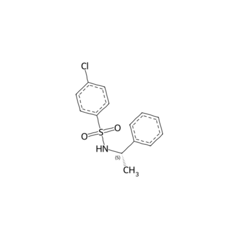 C[C@H](NS(=O)(=O)c1ccc(Cl)cc1)c1ccccc1